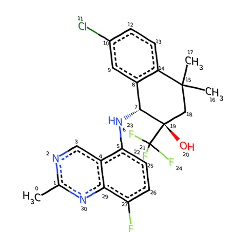 Cc1ncc2c(N[C@@H]3c4cc(Cl)ccc4C(C)(C)C[C@]3(O)C(F)(F)F)ccc(F)c2n1